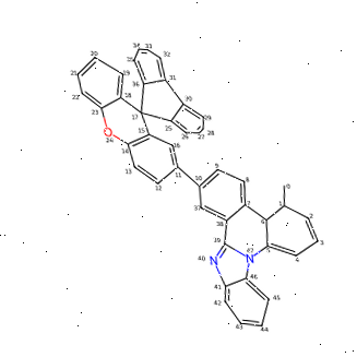 CC1C=CC=C2C1c1ccc(-c3ccc4c(c3)C3(c5ccccc5O4)c4ccccc4-c4ccccc43)cc1-c1nc3ccccc3n12